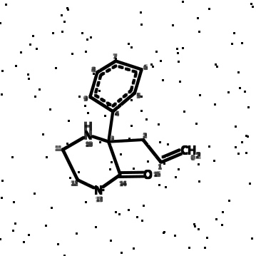 C=CCC1(c2ccccc2)NCC[N]C1=O